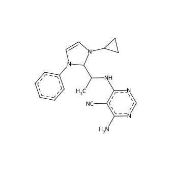 CC(Nc1ncnc(N)c1C#N)C1N(c2ccccc2)C=CN1C1CC1